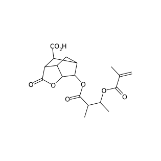 C=C(C)C(=O)OC(C)C(C)C(=O)OC1C2CC3C1OC(=O)C3C2C(=O)O